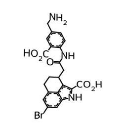 NCc1ccc(NC(=O)CC2CCc3cc(Br)cc4[nH]c(C(=O)O)c2c34)c(C(=O)O)c1